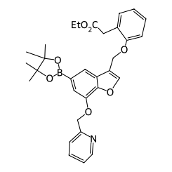 CCOC(=O)Cc1ccccc1OCc1coc2c(OCc3ccccn3)cc(B3OC(C)(C)C(C)(C)O3)cc12